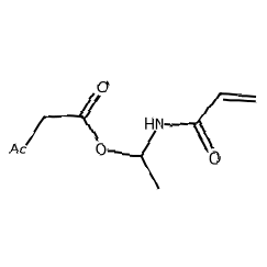 C=CC(=O)NC(C)OC(=O)CC(C)=O